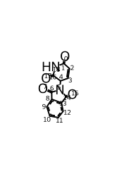 O=C1C=CC(N2C(=O)c3ccccc3C2=O)C(=O)N1